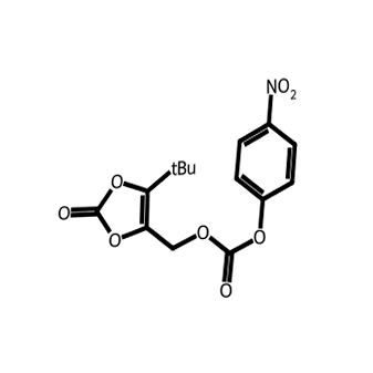 CC(C)(C)c1oc(=O)oc1COC(=O)Oc1ccc([N+](=O)[O-])cc1